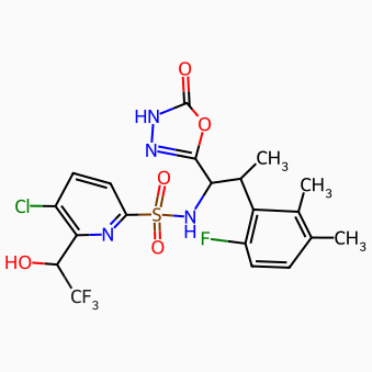 Cc1ccc(F)c(C(C)C(NS(=O)(=O)c2ccc(Cl)c(C(O)C(F)(F)F)n2)c2n[nH]c(=O)o2)c1C